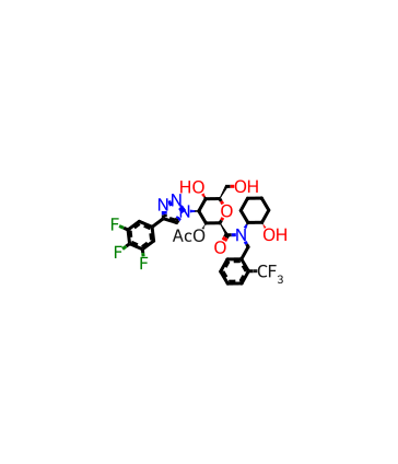 CC(=O)O[C@@H]1[C@@H](n2cc(-c3cc(F)c(F)c(F)c3)nn2)[C@@H](O)[C@@H](CO)O[C@H]1C(=O)N(Cc1ccccc1C(F)(F)F)[C@H]1CCCC[C@@H]1O